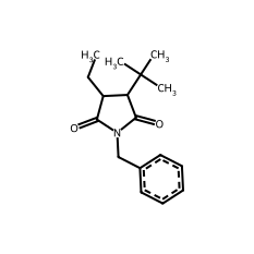 CCC1C(=O)N(Cc2ccccc2)C(=O)C1C(C)(C)C